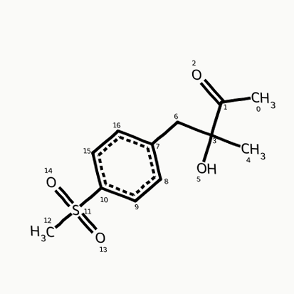 CC(=O)C(C)(O)Cc1ccc(S(C)(=O)=O)cc1